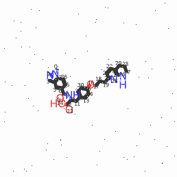 Cn1ncc2cc(C(=O)NC(Cc3ccc(OCCCc4ccc5c(n4)NCCC5)cc3)C(=O)O)ccc21